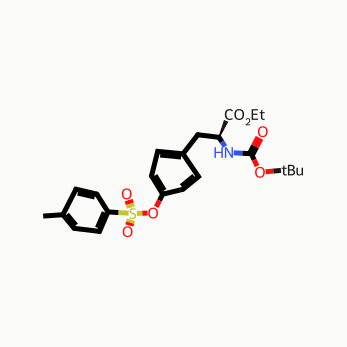 CCOC(=O)[C@H](Cc1ccc(OS(=O)(=O)c2ccc(C)cc2)cc1)NC(=O)OC(C)(C)C